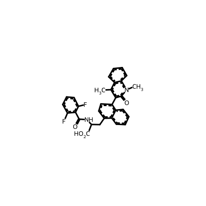 Cc1c(-c2ccc(CC(NC(=O)c3c(F)cccc3F)C(=O)O)c3ccccc23)c(=O)n(C)c2ccccc12